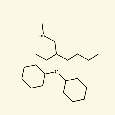 C1CCC(OC2CCCCC2)CC1.CCCCC(CC)[CH2][Sn][CH3]